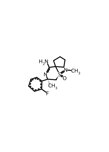 CN=[S@@]1(=O)C[C@@](C)(c2ccccc2F)N=C(N)C12CCCC2